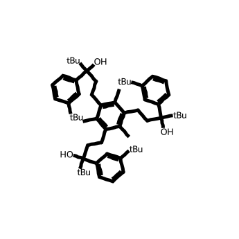 Cc1c(CCC(O)(c2cccc(C(C)(C)C)c2)C(C)(C)C)c(C)c(CCC(O)(c2cccc(C(C)(C)C)c2)C(C)(C)C)c(C)c1CCC(O)(c1cccc(C(C)(C)C)c1)C(C)(C)C